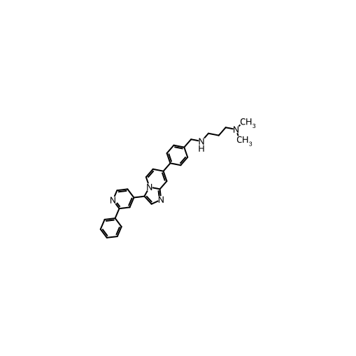 CN(C)CCCNCc1ccc(-c2ccn3c(-c4ccnc(-c5ccccc5)c4)cnc3c2)cc1